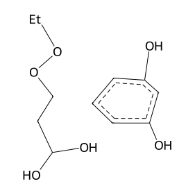 CCOOCCC(O)O.Oc1cccc(O)c1